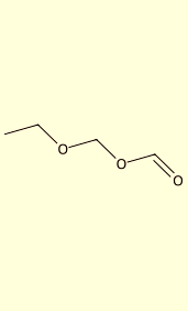 CCOCOC=O